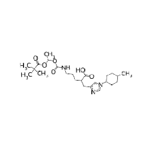 CC1CCC(n2cnc(CC(CCCNC(=O)OC(C)OC(=O)C(C)(C)C)C(=O)O)c2)CC1